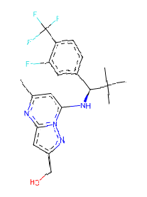 Cc1cc(N[C@@H](c2ccc(C(F)(F)F)c(F)c2)C(C)(C)C)n2nc(CO)cc2n1